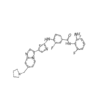 Nc1cccc(F)c1NC(=O)c1ccc(Nc2ncc(-c3cnc4cc(CN5CCCC5)ccn34)s2)c(F)c1